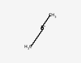 CCCCCCCCCCCCCCCCCCc1cc[n+](CCCCCCCCCCCCC)cc1